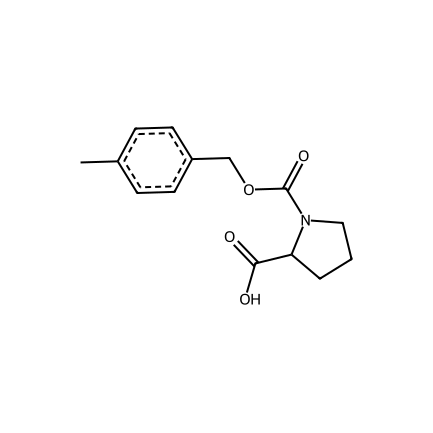 Cc1ccc(COC(=O)N2CCCC2C(=O)O)cc1